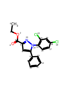 CCOC(=O)c1cc(-c2ccccc2)n(-c2ccc(Cl)cc2Cl)n1